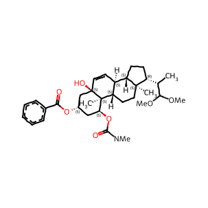 CNC(=O)O[C@H]1C[C@H](OC(=O)c2ccccc2)C[C@]2(O)C=C[C@H]3[C@@H]4CC[C@H](C(C)C(OC)OC)[C@@]4(C)CC[C@@H]3[C@@]12C